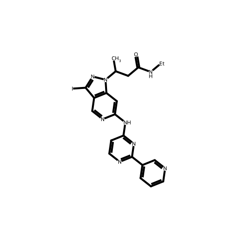 CCNC(=O)CC(C)n1nc(I)c2cnc(Nc3ccnc(-c4cccnc4)n3)cc21